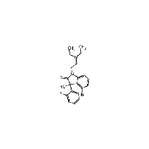 CCN(CC)CCN1C(=O)C(O)(c2ccccc2F)c2c(Br)cccc21